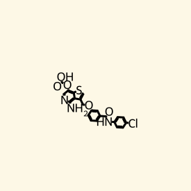 Nc1ncc(OC(=O)O)c2scc(COc3cccc(C(=O)Nc4ccc(Cl)cc4)c3)c12